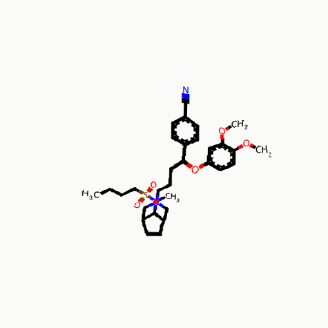 CCCCS(=O)(=O)N(C)C1C2CCC1CN(CCCC(Oc1ccc(OC)c(OC)c1)c1ccc(C#N)cc1)C2